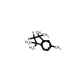 Cc1ccc2c(c1)C(C)(C)C(F)(F)C2(C)C